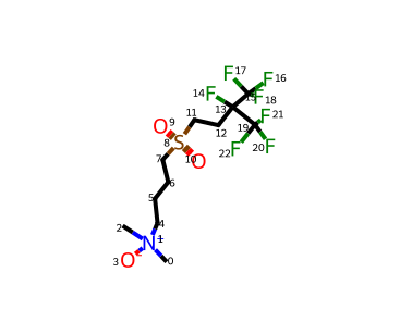 C[N+](C)([O-])CCCCS(=O)(=O)CCC(F)(C(F)(F)F)C(F)(F)F